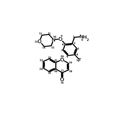 NCc1cc(F)ccc1ON1CCOCC1.O=c1ccoc2ccccc12